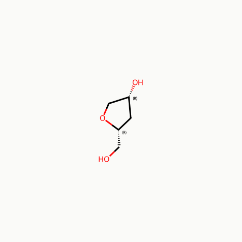 OC[C@H]1C[C@@H](O)CO1